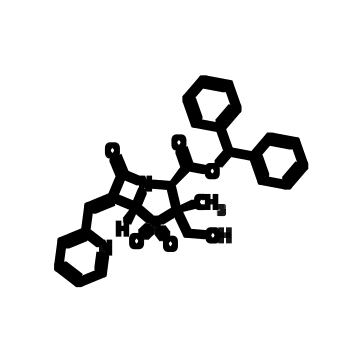 C[C@]1(CO)[C@H](C(=O)OC(c2ccccc2)c2ccccc2)N2C(=O)/C(=C/c3ccccn3)[C@H]2S1(=O)=O